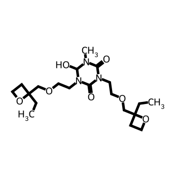 CCC1(COCCN2C(=O)N(C)C(O)N(CCOCC3(CC)CCO3)C2=O)CCO1